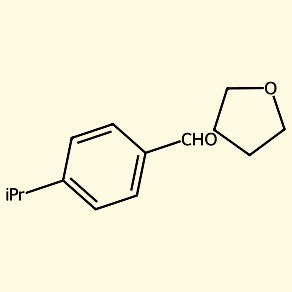 C1CCOC1.CC(C)c1ccc(C=O)cc1